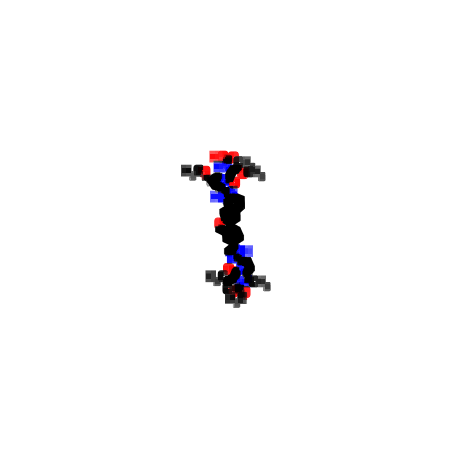 CC[C@H]1CC[C@@H](c2ncc(-c3ccc4c(c3)COc3cc5c(ccc6nc([C@@H]7C[C@H](COC)CN7C(=O)C(NC(=O)O)C(C)OC)[nH]c65)cc3-4)[nH]2)N1C(=O)C(NC(=O)OC)C(C)C